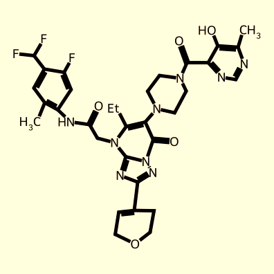 CCc1c(N2CCN(C(=O)c3ncnc(C)c3O)CC2)c(=O)n2nc(C3=CCOCC3)nc2n1CC(=O)Nc1cc(F)c(C(F)F)cc1C